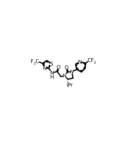 CC(C)[C@H]1CN(c2ccc(C(F)(F)F)nc2)C(=O)N1CC(=O)Nc1nc(C(F)(F)F)cs1